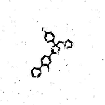 Fc1ccc(C2(Cn3cncn3)COC(c3ccc(-c4ccccc4)c(F)c3)=N2)cc1